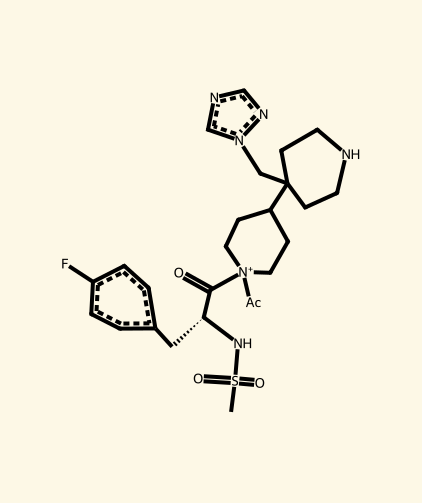 CC(=O)[N+]1(C(=O)[C@@H](Cc2ccc(F)cc2)NS(C)(=O)=O)CCC(C2(Cn3cncn3)CCNCC2)CC1